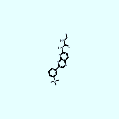 CCNC(=O)Nc1ccc2ncc(-c3cccc([Si](C)(C)C)c3)nc2n1